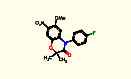 COc1cc2c(cc1[N+](=O)[O-])OC(C)(C)C(=O)N2c1ccc(F)cc1